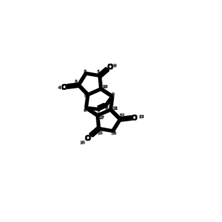 O=C1CC(=O)C2C3C=CC(C12)C1C(=O)CC(=O)C31